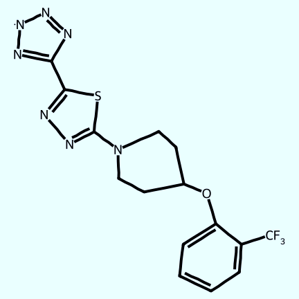 FC(F)(F)c1ccccc1OC1CCN(c2nnc(C3=N[N]N=N3)s2)CC1